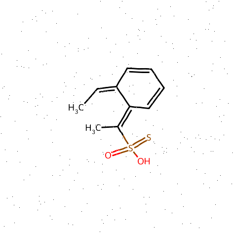 C/C=c1/cccc/c1=C(/C)S(=O)(O)=S